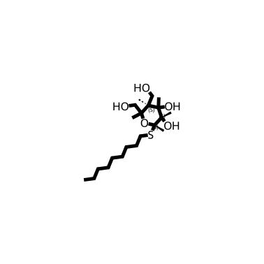 CCCCCCCCCS[C@]1(C)OC(C)(CO)[C@@](C)(CO)C(C)(O)[C@]1(C)O